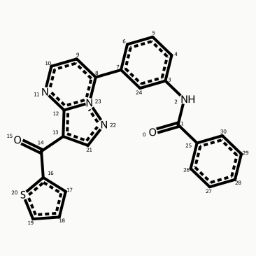 O=C(Nc1cccc(-c2ccnc3c(C(=O)c4cccs4)cnn23)c1)c1ccccc1